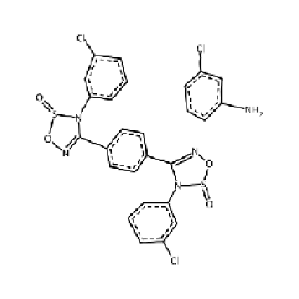 Nc1cccc(Cl)c1.O=S1ON=C(c2ccc(C3=NOS(=O)N3c3cccc(Cl)c3)cc2)N1c1cccc(Cl)c1